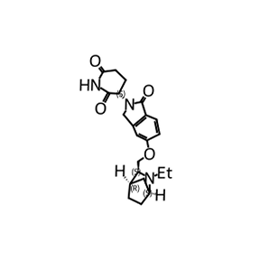 CCN1[C@H]2CC[C@H](C2)[C@H]1COc1ccc2c(c1)CN([C@H]1CCC(=O)NC1=O)C2=O